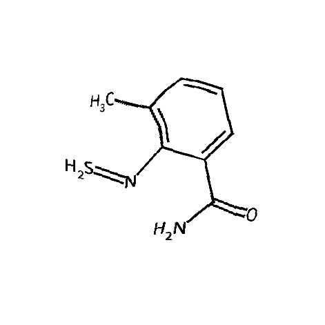 Cc1cccc(C(N)=O)c1N=[SH2]